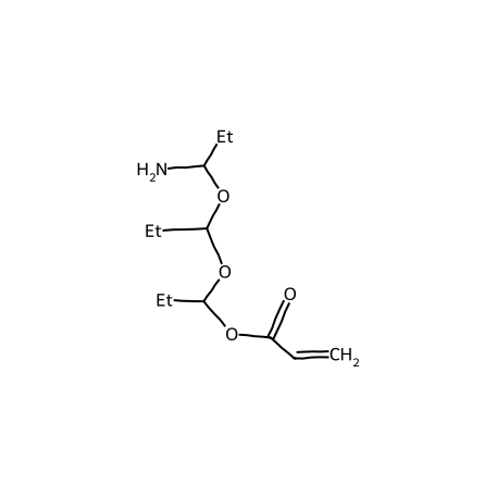 C=CC(=O)OC(CC)OC(CC)OC(N)CC